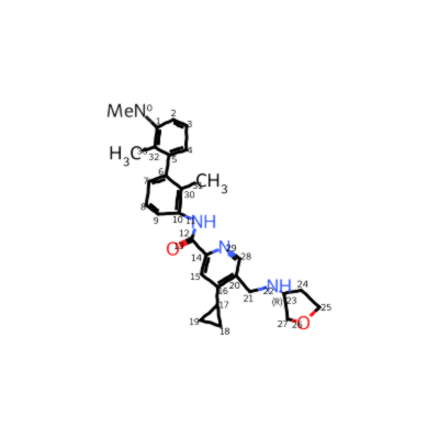 CNc1cccc(-c2cccc(NC(=O)c3cc(C4CC4)c(CN[C@@H]4CCOC4)cn3)c2C)c1C